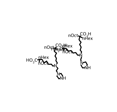 CCCCCCCCC(CCCCCC)(CCCCCCN(CCCCCCC(CCCCCC)(CCCCCCCC)C(=O)O)CCN1CCNCC1)C(=O)O.CCCCCCCCC(CCCCCC)(CCCCCCN(CCCCCCC(CCCCCC)(CCCCCCCC)C(=O)O)CCN1CCNCC1)C(=O)O